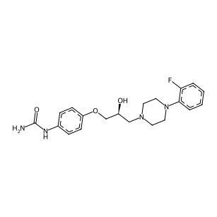 NC(=O)Nc1ccc(OC[C@@H](O)CN2CCN(c3ccccc3F)CC2)cc1